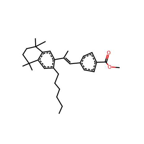 CCCCCCc1cc2c(cc1C(C)=Cc1ccc(C(=O)OC)cc1)C(C)(C)CCC2(C)C